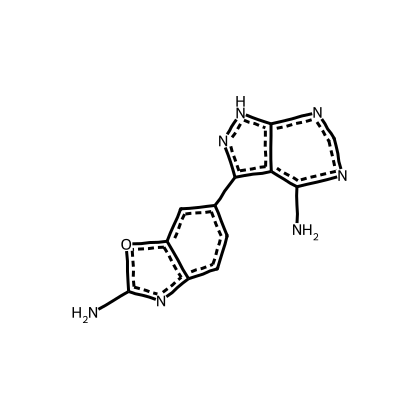 Nc1nc2ccc(-c3n[nH]c4ncnc(N)c34)cc2o1